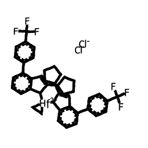 FC(F)(F)c1ccc(-c2cccc3c2C=C(C2CCCC2)[CH]3[Hf+2]2([CH]3C(C4CCCC4)=Cc4c(-c5ccc(C(F)(F)F)cc5)cccc43)[CH2][CH2]2)cc1.[Cl-].[Cl-]